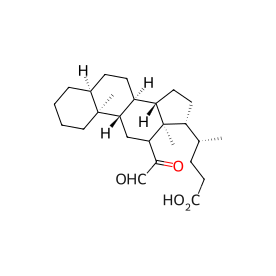 C[C@H](CCC(=O)O)[C@H]1CC[C@H]2[C@@H]3CC[C@@H]4CCCC[C@]4(C)[C@H]3CC(C(=O)C=O)[C@]12C